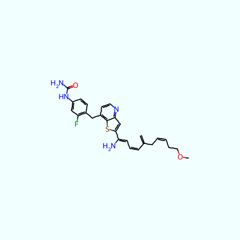 C=C(/C=C\C=C(/N)c1cc2nccc(Cc3ccc(NC(N)=O)cc3F)c2s1)C/C=C\CCOC